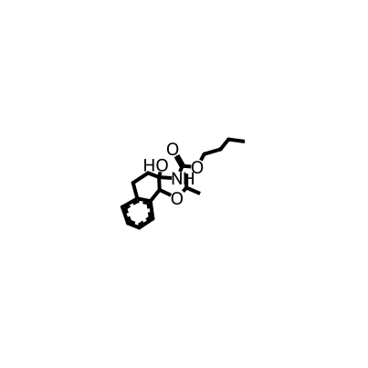 CCCCOC(=O)NC1(O)CCc2ccccc2C1OC(C)C